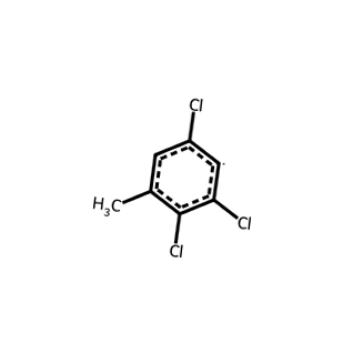 Cc1cc(Cl)[c]c(Cl)c1Cl